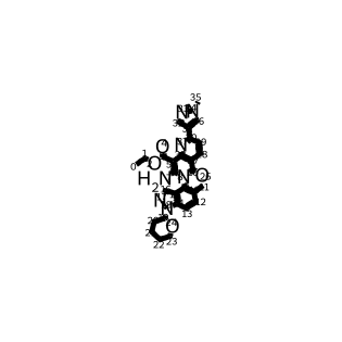 CCOC(=O)c1c(N)n(-c2c(C)ccc3c2cnn3C2CCCCO2)c(=O)c2ccc(-c3cnn(C)c3)nc12